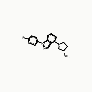 N[C@H]1CCN(c2cccc3c2cnn3-c2ccc(F)nc2)C1